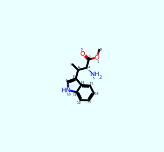 COC(=O)[C@H](N)C(C)c1c[nH]c2ccccc12